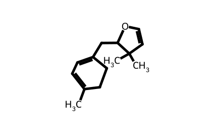 CC1=CC=C(CC2OC=CC2(C)C)CC1